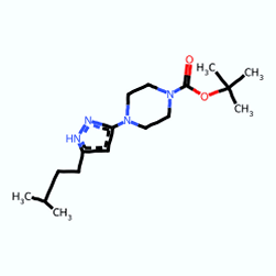 CC(C)CCc1cc(N2CCN(C(=O)OC(C)(C)C)CC2)n[nH]1